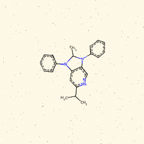 CC(C)c1cc2c(cn1)N(c1ccccc1)C(C)N2c1ccccc1